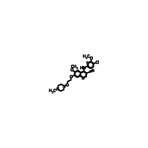 COc1cc2c(Nc3ccc(Cl)c(OC)n3)c(C#N)cnc2cc1OCCON1CCN(C)CC1